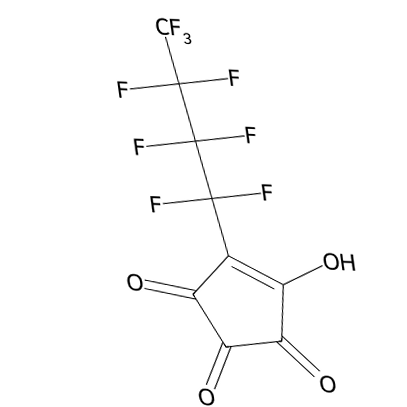 O=c1c(O)c(C(F)(F)C(F)(F)C(F)(F)C(F)(F)F)c(=O)c1=O